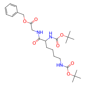 CC(C)(C)OC(=O)NCCCCC(NC(=O)OC(C)(C)C)C(=O)NCC(=O)OCc1ccccc1